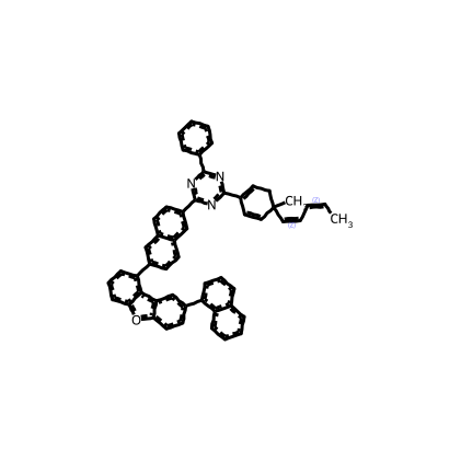 C/C=C\C=C/C1(C)C=CC(c2nc(-c3ccccc3)nc(-c3ccc4cc(-c5cccc6oc7ccc(-c8cccc9ccccc89)cc7c56)ccc4c3)n2)=CC1